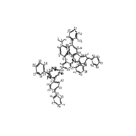 CC(C)c1ccc(-c2cc(-c3nc(-c4ccccc4)nc(-c4ccc(-c5ccccc5)cc4)n3)cc(-c3ccccc3)c2-n2c3ccc(-c4ccccc4)cc3c3cc(-c4ccccc4)ccc32)cc1